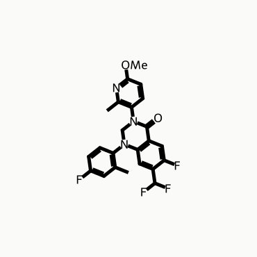 COc1ccc(N2CN(c3ccc(F)cc3C)c3cc(C(F)F)c(F)cc3C2=O)c(C)n1